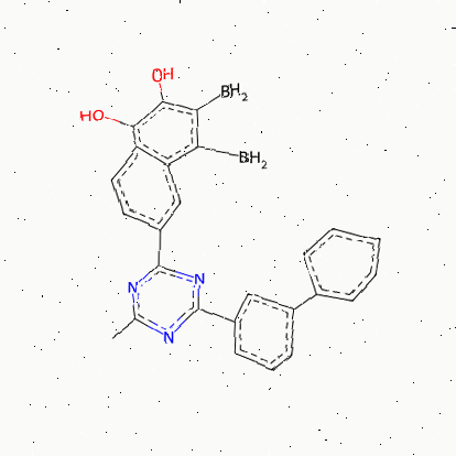 Bc1c(O)c(O)c2ccc(-c3nc(C)nc(-c4cccc(-c5ccccc5)c4)n3)cc2c1B